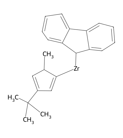 CC1C=C(C(C)(C)C)C=[C]1[Zr][CH]1c2ccccc2-c2ccccc21